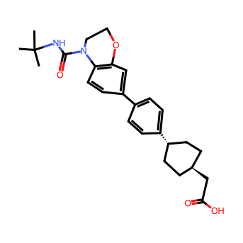 CC(C)(C)NC(=O)N1CCOc2cc(-c3ccc([C@H]4CC[C@H](CC(=O)O)CC4)cc3)ccc21